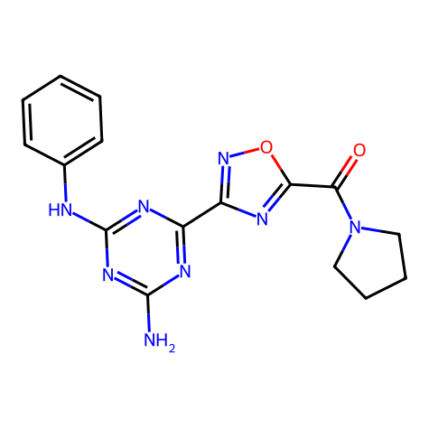 Nc1nc(Nc2ccccc2)nc(-c2noc(C(=O)N3CCCC3)n2)n1